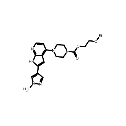 CCOCCOC(=O)N1CCN(c2ccnc3[nH]c(-c4cnn(C)c4)cc23)CC1